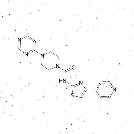 O=C(Nc1nc(-c2ccncc2)cs1)N1CCN(c2ccncn2)CC1